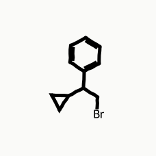 BrCC(c1ccccc1)C1CC1